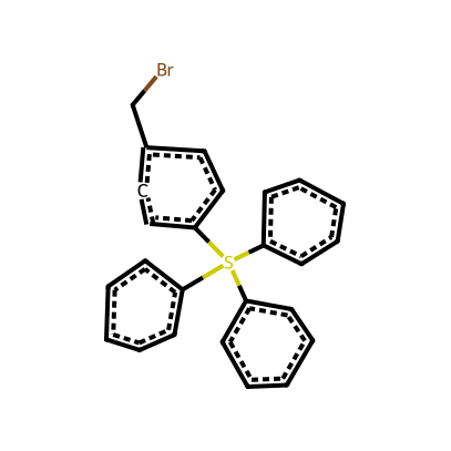 BrCc1ccc(S(c2ccccc2)(c2ccccc2)c2ccccc2)cc1